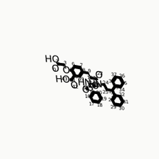 O=C(O)COc1ccc(C[C@H](NS(=O)(=O)c2ccccc2)C(=O)NCCC(c2ccccc2)c2ccccc2)cc1C(=O)O